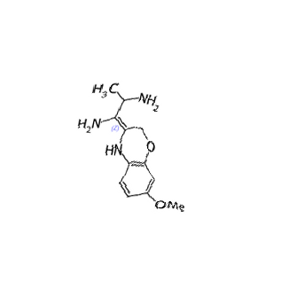 COc1ccc2c(c1)OC/C(=C(/N)C(C)N)N2